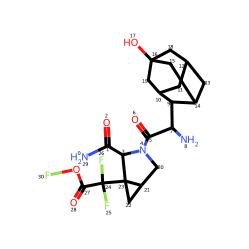 NC(=O)C1N(C(=O)C(N)C2C3CC4CC2CC(O)(C4)C3)CC2CC21C(F)(F)C(=O)OF